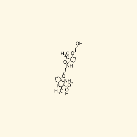 COc1c(OCCCO)cccc1C(=O)NCCCOc1cccc2nc(C)c(C(=O)O)c(N)c12